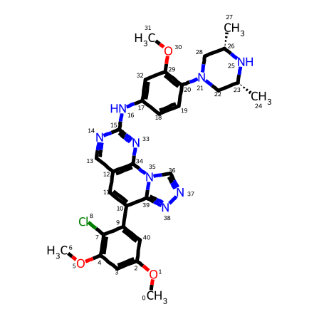 COc1cc(OC)c(Cl)c(-c2cc3cnc(Nc4ccc(N5C[C@@H](C)N[C@@H](C)C5)c(OC)c4)nc3n3cnnc23)c1